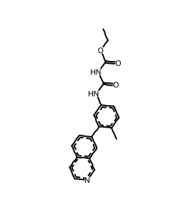 CCOC(=O)NC(=O)Nc1ccc(C)c(-c2ccc3ccncc3c2)c1